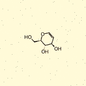 OC[C@H]1OC=C[C@@H](O)[C@@H]1O